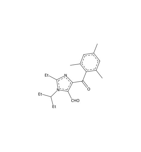 CCc1nc(C(=O)c2c(C)cc(C)cc2C)c(C=O)n1C(CC)CC